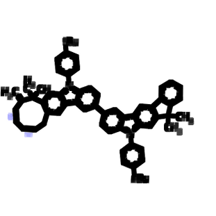 C=C1/C=C\C=C/Cc2cc3c4cc(-c5ccc6c(c5)c5cc7c(cc5n6-c5ccc(CCCC)cc5)C(C)(C)c5ccccc5-7)ccc4n(-c4ccc(C(C)(C)C)cc4)c3cc2C1(C)C